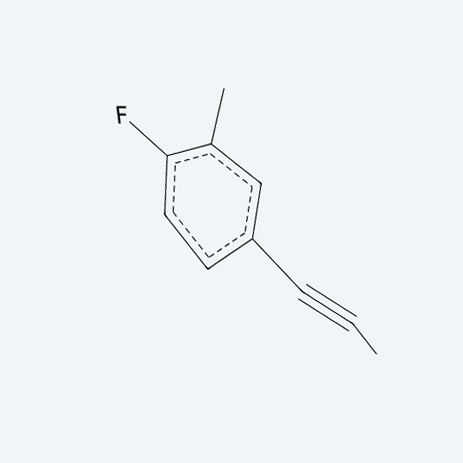 CC#Cc1ccc(F)c(C)c1